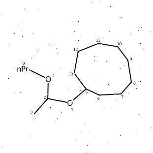 CCCOC(C)OC1CCCCCCCC1